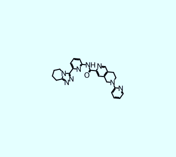 O=C(Nc1cccc(-c2nnc3n2CCCC3)n1)c1cc2c(cn1)CCN(c1ccccn1)C2